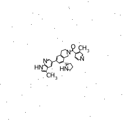 Cc1cnccc1C(=O)N1CCc2cc(-c3cnc4[nH]cc(C)c4c3)cc([C@@H]3CCCN3)c2C1